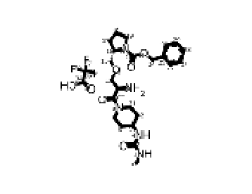 CNC(=O)NC1CCN(C(=O)C(N)COC[C@@H]2CCCN2C(=O)OCc2ccccc2)CC1.O=C(O)C(F)(F)F